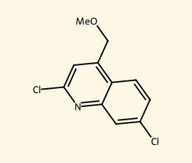 COCc1cc(Cl)nc2cc(Cl)ccc12